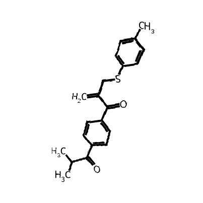 C=C(CSc1ccc(C)cc1)C(=O)c1ccc(C(=O)C(C)C)cc1